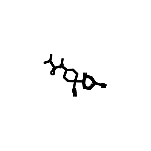 CC(C)C(=O)N(C)C1CCC(C#N)(c2ccc(Br)cn2)CC1